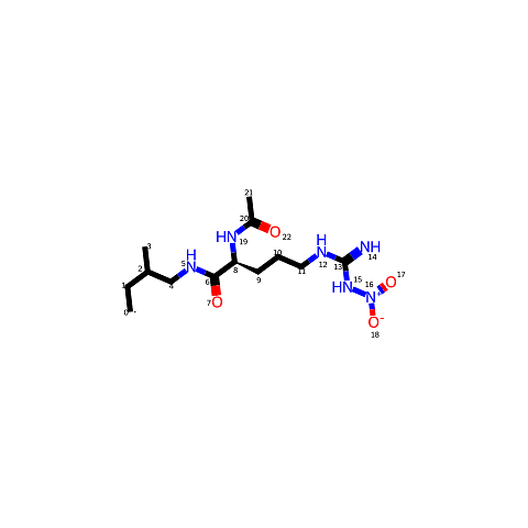 [CH2]CC(C)CNC(=O)[C@H](CCCNC(=N)N[N+](=O)[O-])NC(C)=O